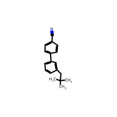 CC(C)(C)Cc1cccc(-c2ccc(C#N)cc2)c1